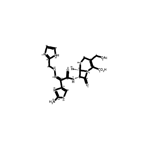 CC(=O)OCC1=C(C(=O)O)N2C(=O)[C@H](NC(=O)/C(=N\OCc3ncc[nH]3)c3csc(N)n3)[C@H]2SC1